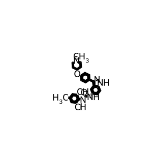 Cc1cc(C)c(NC(=O)Nc2ccc3[nH]nc(-c4ccc(OC5CCN(C)CC5)cc4)c3c2)c(Cl)c1